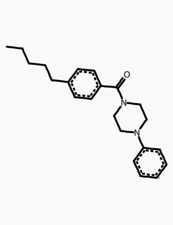 CCCCCc1ccc(C(=O)N2CCN(c3cc[c]cc3)CC2)cc1